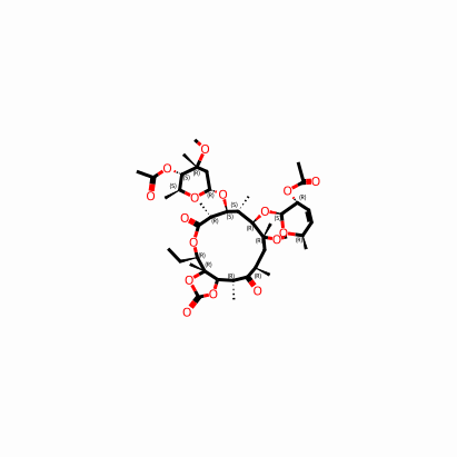 CC[C@H]1OC(=O)[C@H](C)[C@@H](O[C@H]2C[C@@](C)(OC)[C@@H](OC(C)=O)[C@H](C)O2)[C@H](C)[C@@H](O[C@@H]2O[C@H](C)C=C[C@H]2OC(C)=O)[C@](C)(OC)C[C@@H](C)C(=O)[C@H](C)C2OC(=O)O[C@@]21C